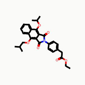 CCOC(=O)Cc1ccc(N2C(=O)c3c(c(OC(C)C)c4ccccc4c3OCC(C)C)C2=O)cc1